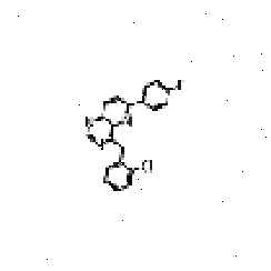 Fc1ccc(-c2ccc3ncnc(Cc4ccccc4Cl)c3n2)cc1